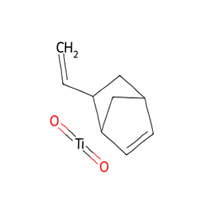 C=CC1CC2C=CC1C2.[O]=[Ti]=[O]